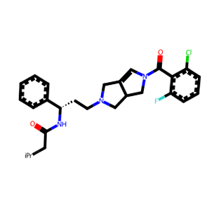 CC(C)CC(=O)N[C@@H](CCN1CC2=CN(C(=O)c3c(F)cccc3Cl)CC2C1)c1ccccc1